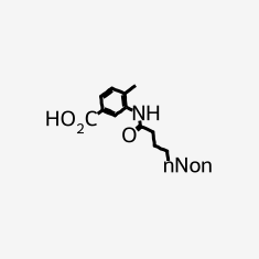 CCCCCCCCCCCCC(=O)Nc1cc(C(=O)O)ccc1C